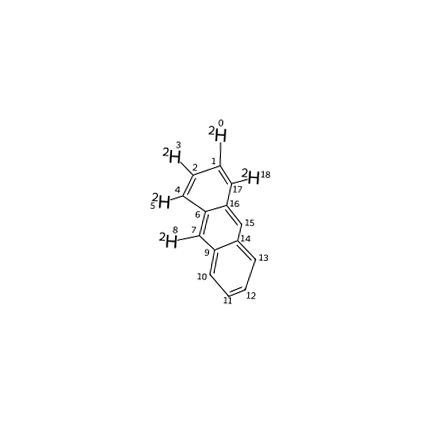 [2H]c1c([2H])c([2H])c2c([2H])c3ccccc3cc2c1[2H]